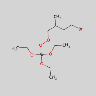 CCO[Si](OCC)(OCC)OOCC(C)CCBr